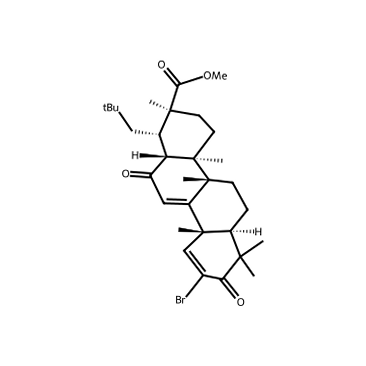 COC(=O)[C@@]1(C)CC[C@]2(C)[C@H](C(=O)C=C3[C@@]4(C)C=C(Br)C(=O)C(C)(C)[C@@H]4CC[C@]32C)[C@@H]1CC(C)(C)C